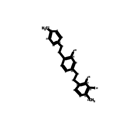 Cc1ccc(CCc2ccc(CCc3ccc(C)c(I)c3I)cc2I)cc1